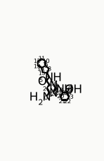 Nc1cc(C(=O)NC2Cc3ccccc3C2)nc(Nc2ccccc2O)n1